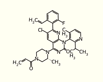 C=CC(=O)N1CCN(c2nc(=O)n(-c3c(C)ccnc3C(C)C)c3nc(-c4c(F)cccc4C=C)c(Cl)cc23)[C@H](C)C1